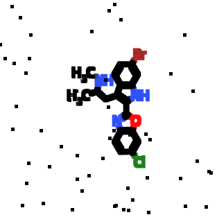 CNC(C)Cc1c(-c2nc3ccc(Cl)cc3o2)[nH]c2cc(Br)ccc12